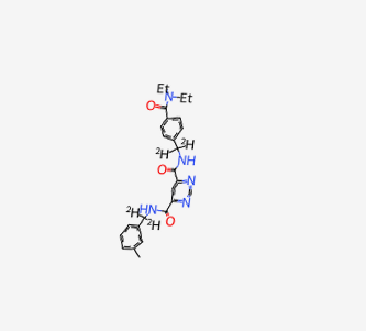 [2H]C([2H])(NC(=O)c1cc(C(=O)NC([2H])([2H])c2cccc(C)c2)ncn1)c1ccc(C(=O)N(CC)CC)cc1